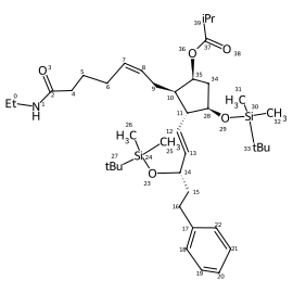 CCNC(=O)CCC/C=C\C[C@@H]1[C@@H](/C=C/[C@H](CCc2ccccc2)O[Si](C)(C)C(C)(C)C)[C@H](O[Si](C)(C)C(C)(C)C)C[C@@H]1OC(=O)C(C)C